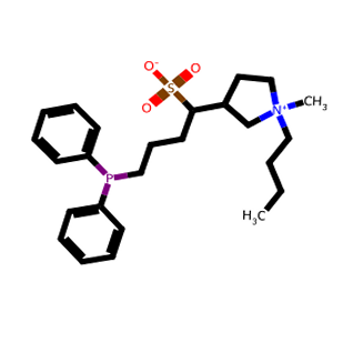 CCCC[N+]1(C)CCC(C(CCCP(c2ccccc2)c2ccccc2)S(=O)(=O)[O-])C1